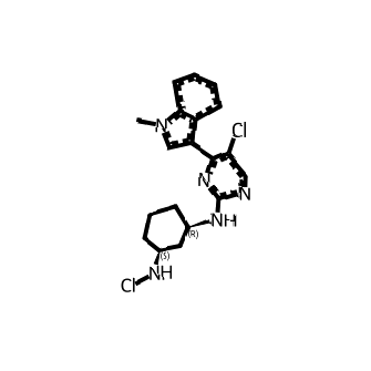 Cn1cc(-c2nc(N[C@@H]3CCC[C@H](NCl)C3)ncc2Cl)c2ccccc21